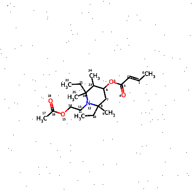 CC=CC(=O)OC1CC(C)(CC)N(CCOC(C)=O)C(C)(CC)C1C